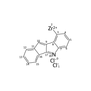 [Cl-].[Cl-].[Zr+2][c]1cccc2c1C1=Cc3ccccc3C1=N2